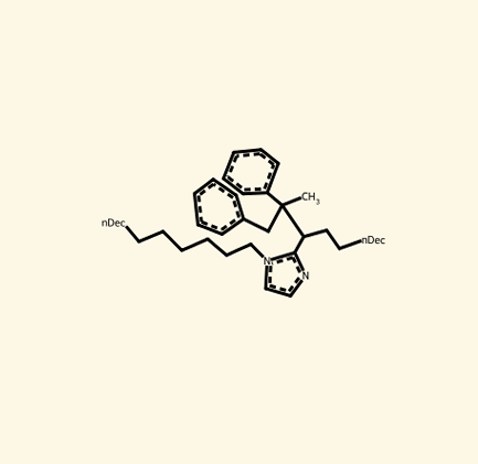 CCCCCCCCCCCCCCCCn1ccnc1C(CCCCCCCCCCCC)C(C)(Cc1ccccc1)c1ccccc1